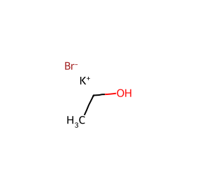 CCO.[Br-].[K+]